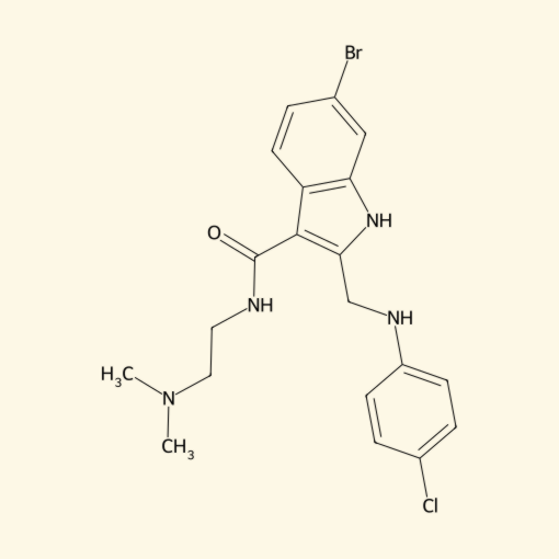 CN(C)CCNC(=O)c1c(CNc2ccc(Cl)cc2)[nH]c2cc(Br)ccc12